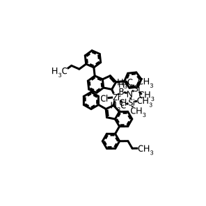 CCCc1ccccc1-c1cccc2c1C=C(c1ccccc1)[CH]2[Zr]([Cl])([Cl])([BH]N([Si](C)(C)C)[Si](C)(C)C)[CH]1C(c2ccccc2)=Cc2c(-c3ccccc3CCC)cccc21